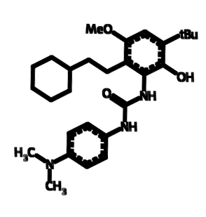 COc1cc(C(C)(C)C)c(O)c(NC(=O)Nc2ccc(N(C)C)cc2)c1CCC1CCCCC1